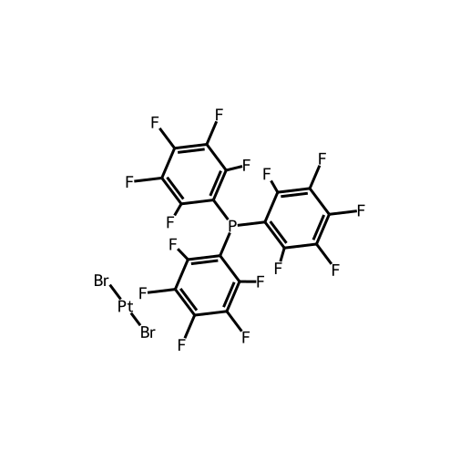 Fc1c(F)c(F)c(P(c2c(F)c(F)c(F)c(F)c2F)c2c(F)c(F)c(F)c(F)c2F)c(F)c1F.[Br][Pt][Br]